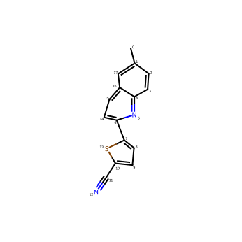 Cc1ccc2nc(-c3ccc(C#N)s3)ccc2c1